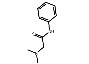 CN(C)CC(=S)Nc1ccccc1